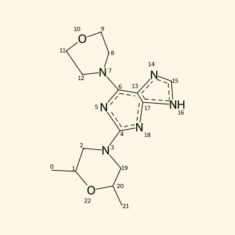 CC1CN(c2nc(N3CCOCC3)c3nc[nH]c3n2)CC(C)O1